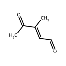 CC(=O)C(C)=CC=O